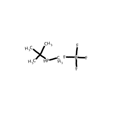 CPC(C)(C)C.F[B-](F)(F)F